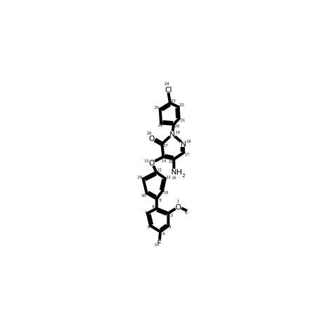 COc1cc(F)ccc1-c1ccc(Oc2c(N)cnn(-c3ccc(Cl)cc3)c2=O)cc1